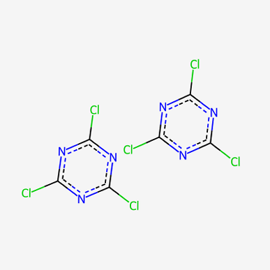 Clc1nc(Cl)nc(Cl)n1.Clc1nc(Cl)nc(Cl)n1